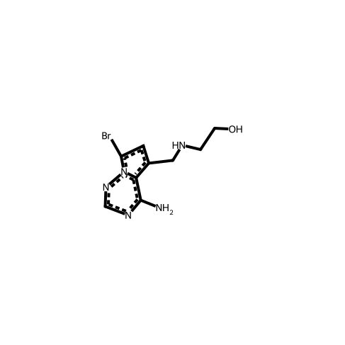 Nc1ncnn2c(Br)cc(CNCCO)c12